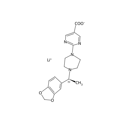 C[C@@H](c1ccc2c(c1)OCO2)N1CCN(c2ncc(C(=O)[O-])cn2)CC1.[Li+]